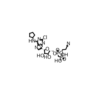 N#CCCOP(=O)(CP(=O)(O)O)OC[C@H]1O[C@@H](c2cnc3c(NC4CCCC4)nc(Cl)nn23)C(O)C1O